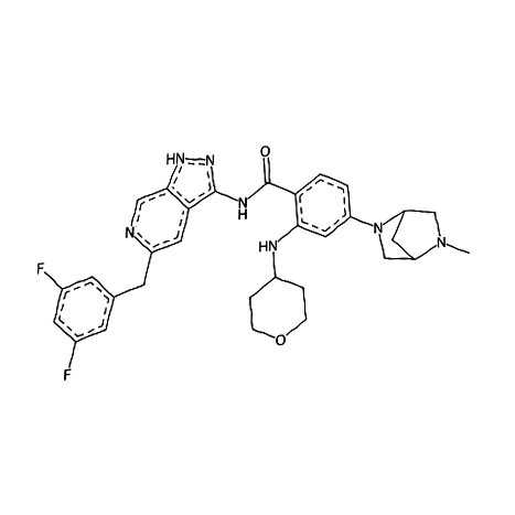 CN1CC2CC1CN2c1ccc(C(=O)Nc2n[nH]c3cnc(Cc4cc(F)cc(F)c4)cc23)c(NC2CCOCC2)c1